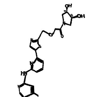 Cc1ccnc(Nc2cccc(-c3cnc(COCC(=O)N4C[C@@H](O)[C@@H](O)C4)s3)n2)c1